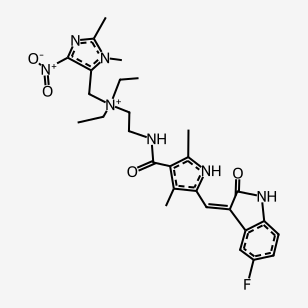 CC[N+](CC)(CCNC(=O)c1c(C)[nH]c(/C=C2\C(=O)Nc3ccc(F)cc32)c1C)Cc1c([N+](=O)[O-])nc(C)n1C